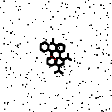 CC(C)c1cc(C(C)C)c(-c2cccc(C(C)C)c2P(C2CCCCC2)C2CCCCC2)c(C(C)C)c1